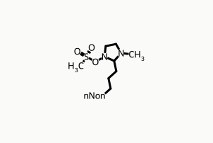 CCCCCCCCCCCCC1N(C)CCN1OS(C)(=O)=O